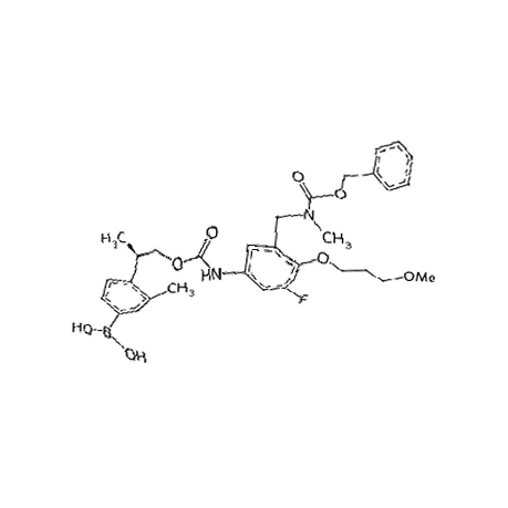 COCCCOc1c(F)cc(NC(=O)OC[C@H](C)c2ccc(B(O)O)cc2C)cc1CN(C)C(=O)OCc1ccccc1